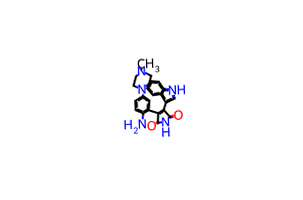 CN1CCN(c2ccc(N)c(C3=C(c4c[nH]c5ccccc45)C(=O)NC3=O)c2)CC1